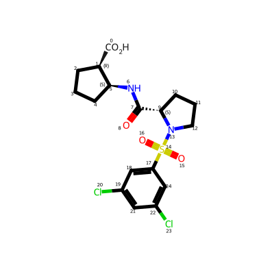 O=C(O)[C@@H]1CCC[C@@H]1NC(=O)[C@@H]1CCCN1S(=O)(=O)c1cc(Cl)cc(Cl)c1